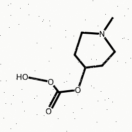 CN1CCC(OC(=O)OO)CC1